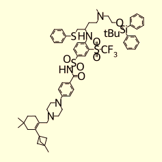 CN(CCO[Si](c1ccccc1)(c1ccccc1)C(C)(C)C)CCC(CSc1ccccc1)Nc1ccc(S(=O)(=O)NC(=O)c2ccc(N3CCN(CC4=C(C56CC(C)(C5)C6)CC(C)(C)CC4)CC3)cc2)cc1S(=O)(=O)C(F)(F)F